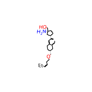 C=C(/C=C1/CC[C@@H](COCC/C=C\CC)C/C1=C/C)[C@H]1CC[C@](N)(CO)C1